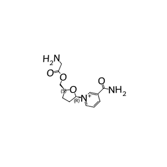 NCC(=O)OC[C@@H]1CC[C@H]([n+]2cccc(C(N)=O)c2)O1